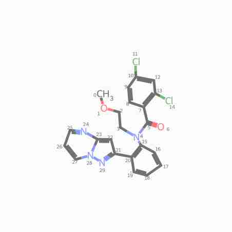 COCCN(C(=O)c1ccc(Cl)cc1Cl)c1ccc[c]c1-c1cc2ncccn2n1